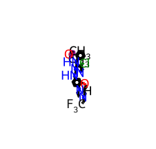 CP(C)(=O)c1ccccc1Nc1nc(Nc2ccc3c(c2)OC[C@@H]2CN(CC(F)(F)F)CCN32)ncc1Cl